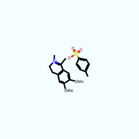 COc1cc2c(cc1OC)C(C)=[N+](C)CC2.Cc1ccc(S(=O)(=O)[O-])cc1